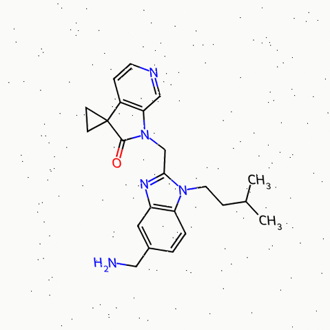 CC(C)CCn1c(CN2C(=O)C3(CC3)c3ccncc32)nc2cc(CN)ccc21